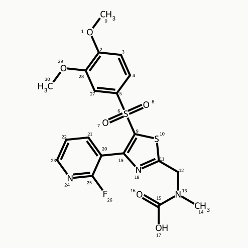 COc1ccc(S(=O)(=O)c2sc(CN(C)C(=O)O)nc2-c2cccnc2F)cc1OC